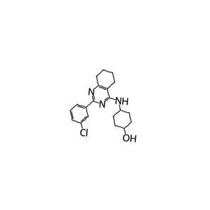 OC1CCC(Nc2nc(-c3cccc(Cl)c3)nc3c2CCCC3)CC1